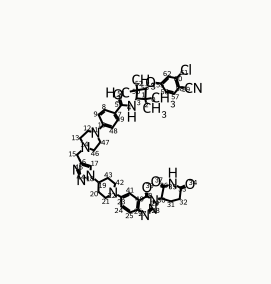 CC1(C)[C@H](NC(=O)c2ccc(N3CCN(Cc4cn(C5CCN(c6ccc7nnn(C8CCC(=O)NC8=O)c(=O)c7c6)CC5)nn4)CC3)cc2)C(C)(C)[C@H]1Oc1ccc(C#N)c(Cl)c1